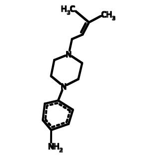 CC(C)=CCN1CCN(c2ccc(N)cc2)CC1